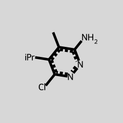 Cc1c(N)nnc(Cl)c1C(C)C